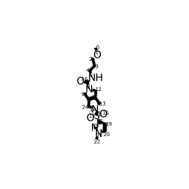 COCCCNC(=O)N1CC2=C(C1)CN(S(=O)(=O)c1ccn(C)n1)C2